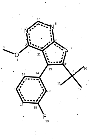 COc1ncnc2sc(C(C)(C)C)c(-c3cccc(F)c3)c12